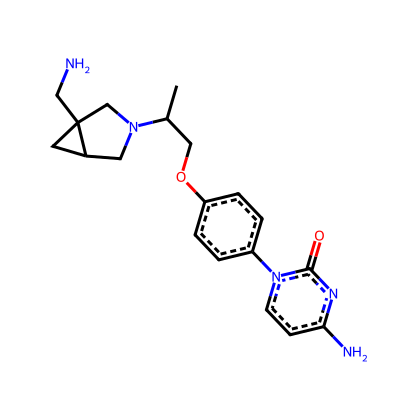 CC(COc1ccc(-n2ccc(N)nc2=O)cc1)N1CC2CC2(CN)C1